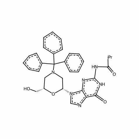 CC(C)C(=O)Nc1nc2c(ncn2[C@H]2CN(C(c3ccccc3)(c3ccccc3)c3ccccc3)C[C@@H](CO)O2)c(=O)[nH]1